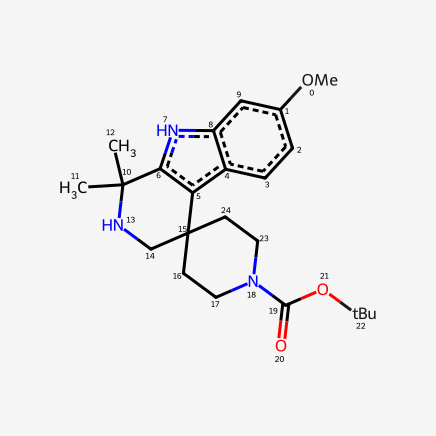 COc1ccc2c3c([nH]c2c1)C(C)(C)NCC31CCN(C(=O)OC(C)(C)C)CC1